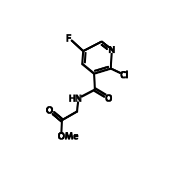 COC(=O)CNC(=O)c1cc(F)cnc1Cl